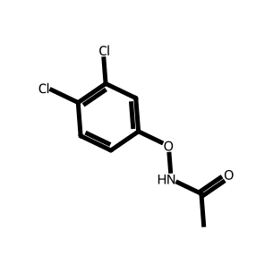 CC(=O)NOc1ccc(Cl)c(Cl)c1